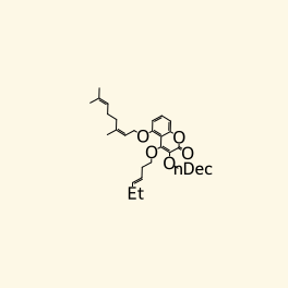 CCC=CCCOc1c(OCCCCCCCCCC)c(=O)oc2cccc(OCC=C(C)CCC=C(C)C)c12